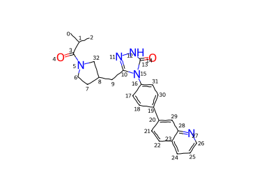 CC(C)C(=O)N1CCC(Cc2n[nH]c(=O)n2-c2ccc(-c3ccc4cccnc4c3)cc2)C1